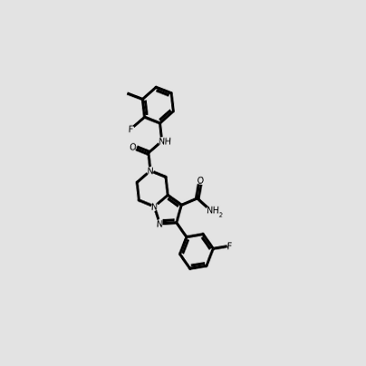 Cc1cccc(NC(=O)N2CCn3nc(-c4cccc(F)c4)c(C(N)=O)c3C2)c1F